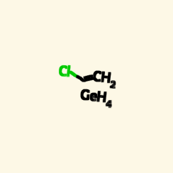 C=CCl.[GeH4]